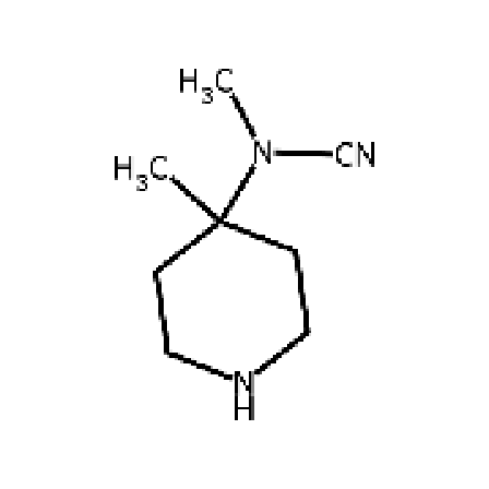 CN(C#N)C1(C)CCNCC1